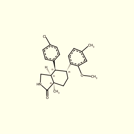 COc1cc(C)ccc1[C@@H]1CC[C@@]2(C)C(=O)NC[C@H]2[C@H]1c1ccc(Cl)cc1